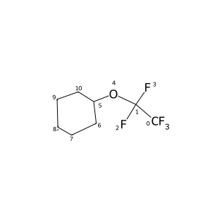 FC(F)(F)C(F)(F)OC1CC[CH]CC1